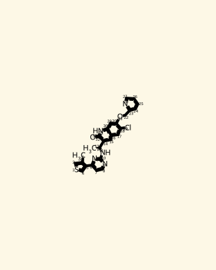 Cc1cscc1-c1ccnc(N[C@@H](C)c2cc3cc(Cl)c(OCc4ccccn4)cc3[nH]c2=O)n1